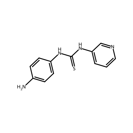 Nc1ccc(NC(=S)Nc2cccnc2)cc1